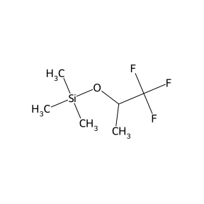 CC(O[Si](C)(C)C)C(F)(F)F